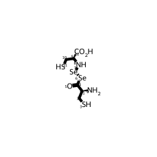 N[C@@H](CS)C(=O)[Se][Se]N[C@@H](CS)C(=O)O